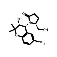 CC1(C)Oc2ccc([N+](=O)[O-])cc2[C@@H](N2C(=O)CC[C@H]2CO)[C@@H]1O